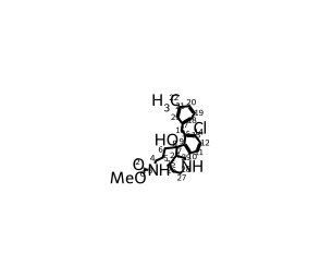 COC(=O)NCCCC(O)(c1cccc(Cl)c1Cc1cccc(C)c1)C1CCCNC1